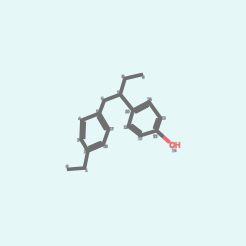 CCc1ccc(CC(CC)c2ccc(O)cc2)cc1